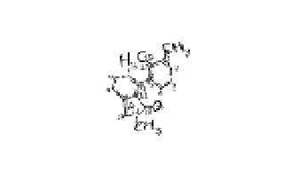 Cc1cccc(-c2cccc3c2C(=O)C(C)C3)c1C